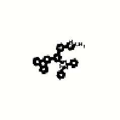 Cc1ccc(-c2cccc(-c3cc(-c4ccc5c6ccccc6c6ccccc6c5c4)cc(-c4nc(-c5ccccc5)nc(-c5ccccc5)n4)c3)c2)cn1